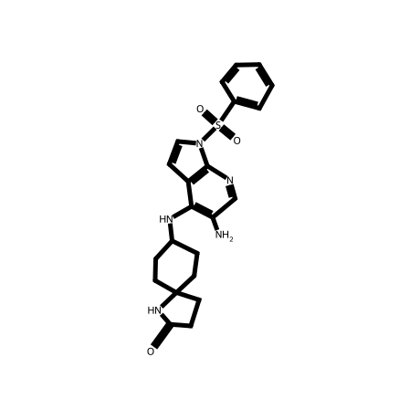 Nc1cnc2c(ccn2S(=O)(=O)c2ccccc2)c1NC1CCC2(CCC(=O)N2)CC1